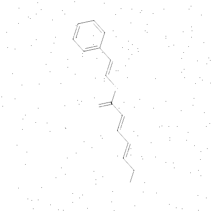 CCC=CC=CC(=O)NC=Cc1ccccc1